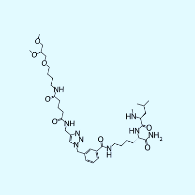 CN[C@@H](CC(C)C)C(=O)N[C@@H](CCCCNC(=O)c1cccc(Cn2cc(CNC(=O)CCCC(=O)NCCCCOCC(COC)OC)nn2)c1)C(N)=O